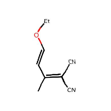 CCO/C=C/C(C)=C(C#N)C#N